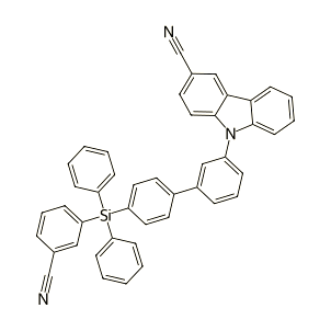 N#Cc1cccc([Si](c2ccccc2)(c2ccccc2)c2ccc(-c3cccc(-n4c5ccccc5c5cc(C#N)ccc54)c3)cc2)c1